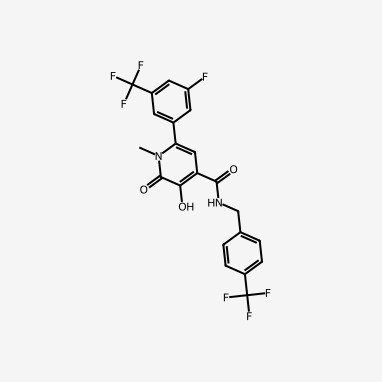 Cn1c(-c2cc(F)cc(C(F)(F)F)c2)cc(C(=O)NCc2ccc(C(F)(F)F)cc2)c(O)c1=O